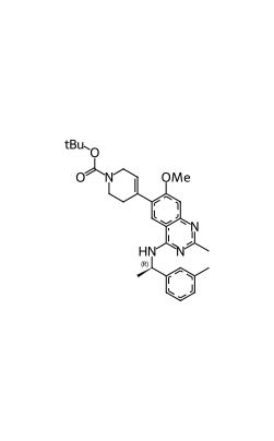 COc1cc2nc(C)nc(N[C@H](C)c3cccc(C)c3)c2cc1C1=CCN(C(=O)OC(C)(C)C)CC1